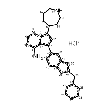 Cl.Nc1ncnn2c(C3CCCNCC3)cc(-c3ccc4cn(Cc5ccccc5)nc4c3)c12